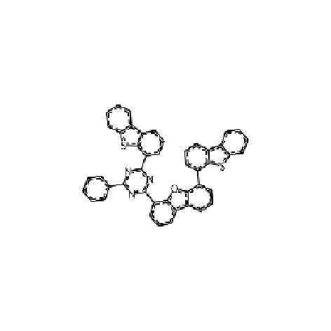 c1ccc(-c2nc(-c3cccc4c3oc3c(-c5cccc6c5sc5ccccc56)cccc34)nc(-c3cccc4c3sc3ccccc34)n2)cc1